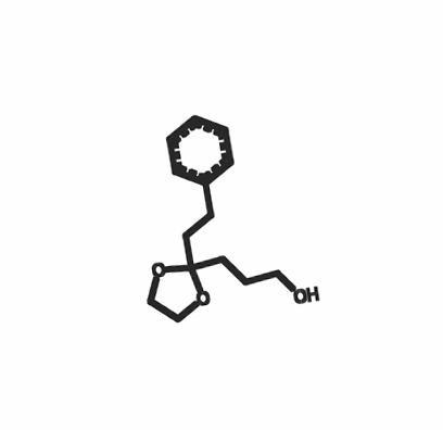 OCCCC1(CCc2ccccc2)OCCO1